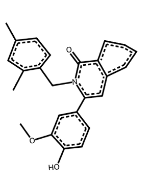 COc1cc(-c2cc3ccccc3c(=O)n2Cc2ccc(C)cc2C)ccc1O